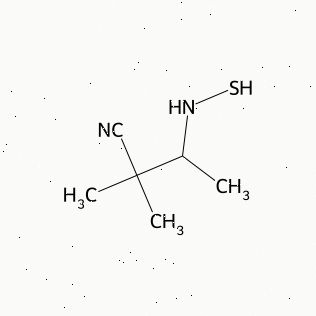 CC(NS)C(C)(C)C#N